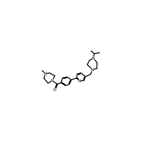 CC(C)N1CCN(Cc2ccc(-c3ccc(C(=O)N4CCN(C)CC4)cc3)nc2)CC1